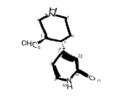 O=C[C@H]1CNCC[C@@H]1c1cc[nH]c(=O)c1